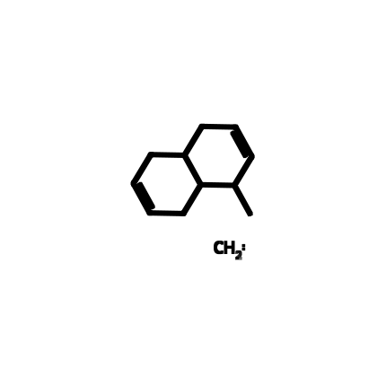 CC1C=CCC2CC=CCC12.[CH2]